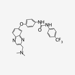 CN(C)Cc1cnc2ccc(Oc3ccc(NC(=O)Nc4ccc(C(F)(F)F)cc4)cc3)cc2n1